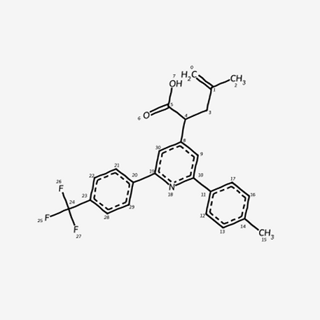 C=C(C)CC(C(=O)O)c1cc(-c2ccc(C)cc2)nc(-c2ccc(C(F)(F)F)cc2)c1